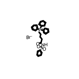 O=C(CCCC[P+](c1ccccc1)(c1ccccc1)c1ccccc1)NS(=O)(=O)c1ccccc1.[Br-]